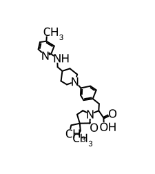 CCC1(CC)CCN(C(Cc2ccc(N3CCC(CNc4cc(C)ccn4)CC3)cc2)C(=O)O)C1=O